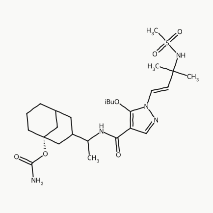 CC(C)COc1c(C(=O)NC(C)C2CC3CCC[C@@](OC(N)=O)(C3)C2)cnn1/C=C/C(C)(C)NS(C)(=O)=O